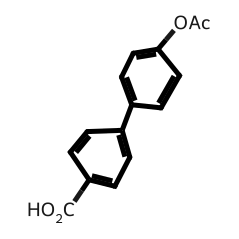 CC(=O)Oc1ccc(-c2ccc(C(=O)O)cc2)cc1